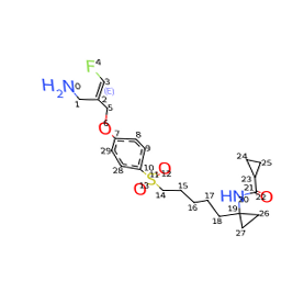 NC/C(=C\F)COc1ccc(S(=O)(=O)CCCCCC2(NC(=O)C3CC3)CC2)cc1